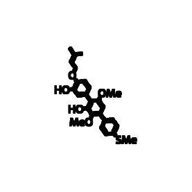 COc1cc(-c2ccc(SC)cc2)c(OC)c(O)c1-c1ccc(OCC=C(C)C)c(O)c1